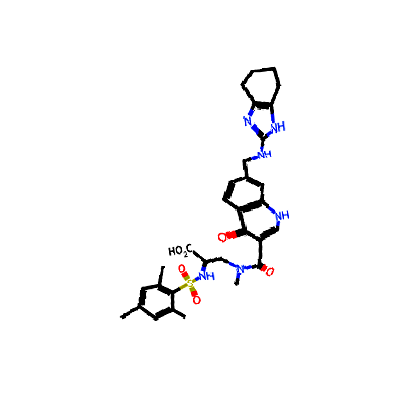 Cc1cc(C)c(S(=O)(=O)NC(CN(C)C(=O)c2c[nH]c3cc(CNc4nc5c([nH]4)CCCC5)ccc3c2=O)C(=O)O)c(C)c1